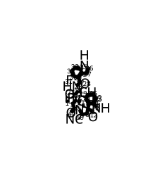 CC(C)C[C@@H](C(=O)N1C[C@]2(C[C@H]1C#N)C(=O)Nc1ccccc12)N(C)C(=O)[C@H](C)NC(=O)c1c(F)ccc2[nH]ccc12